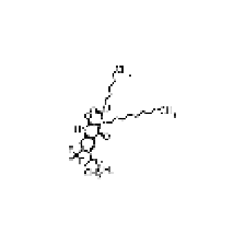 CCCCCCCCCN(C(=O)OCCCCCC)n1c(=O)[nH]c2cc(C(F)(F)F)c(C(CC)OC)cc2c1=O